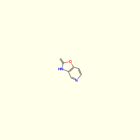 C=C1Nc2cnccc2O1